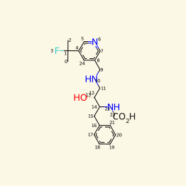 CC(C)(F)c1cncc(CNC[C@@H](O)C(Cc2ccccc2)NC(=O)O)c1